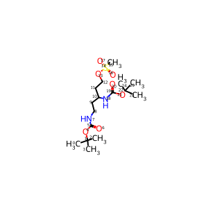 CC(C)(C)OC(=O)NCCC(CCOS(C)(=O)=O)NC(=O)OC(C)(C)C